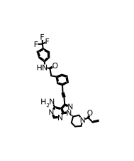 C=CC(=O)N1CCC[C@@H](n2nc(C#Cc3cccc(CC(=O)Nc4ccc(C(F)(F)F)cc4)c3)c3c(N)ncnc32)C1